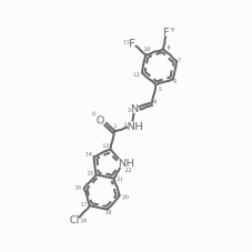 O=C(NN=Cc1ccc(F)c(F)c1)c1cc2cc(Cl)ccc2[nH]1